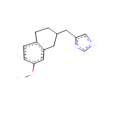 COc1ccc2c(c1)CC(Cc1c[nH]cn1)CC2